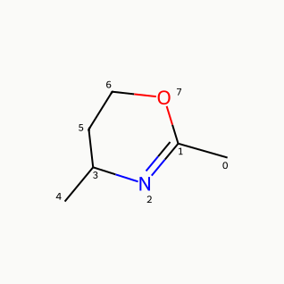 CC1=NC(C)CCO1